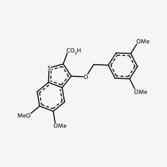 COc1cc(COc2c(C(=O)O)sc3cc(OC)c(OC)cc23)cc(OC)c1